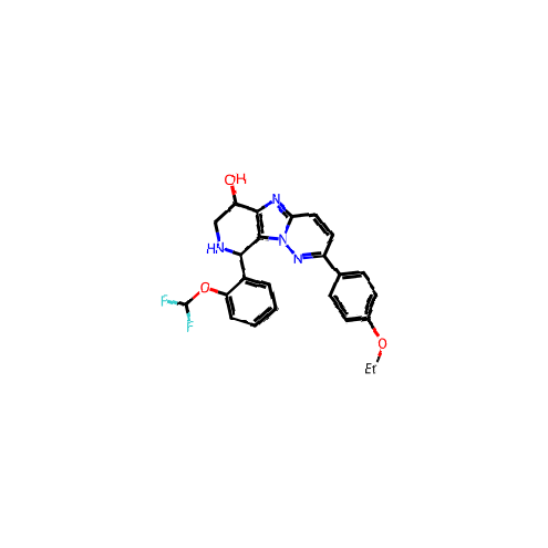 CCOc1ccc(-c2ccc3nc4c(n3n2)C(c2ccccc2OC(F)F)NCC4O)cc1